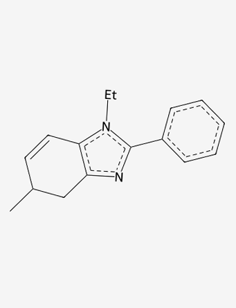 CCn1c(-c2ccccc2)nc2c1C=CC(C)C2